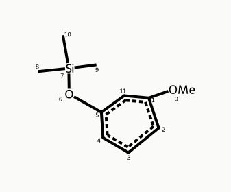 COc1cccc(O[Si](C)(C)C)c1